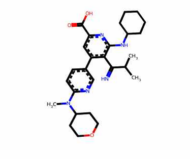 CC(C)C(=N)c1c(-c2ccc(N(C)C3CCOCC3)nc2)cc(C(=O)O)nc1NC1CCCCC1